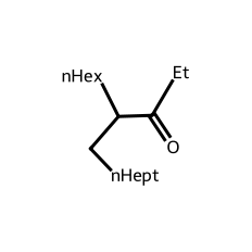 CCCCCCCCC(CCCCCC)C(=O)CC